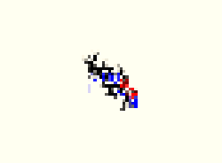 Cc1cc(Cc2ccn(-c3ocnc3C)c(=O)c2NC(C)C)c2[nH]cc(C(C)C)c2c1